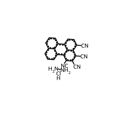 Cl.N#Cc1c(C#N)c2c(C#N)ccc3c4cccc5cccc(c(c1C#N)c23)c54.NN